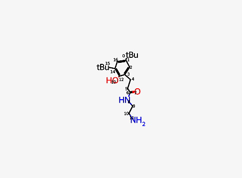 CC(C)(C)c1cc(CCC(=O)NCCN)c(O)c(C(C)(C)C)c1